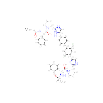 COC(=O)N[C@@H](C(=O)N1CCC[C@H]1c1ncc(-c2ccc(-c3cc(F)c(-c4cnc([C@@H]5CCCN5C(=O)[C@H](NC(=O)OC)c5ccccc5)[nH]4)cc3F)cc2)[nH]1)c1ccccc1